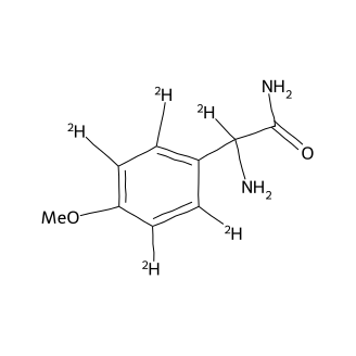 [2H]c1c([2H])c(C([2H])(N)C(N)=O)c([2H])c([2H])c1OC